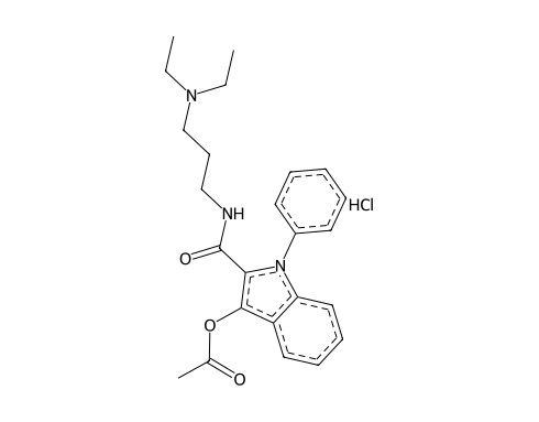 CCN(CC)CCCNC(=O)c1c(OC(C)=O)c2ccccc2n1-c1ccccc1.Cl